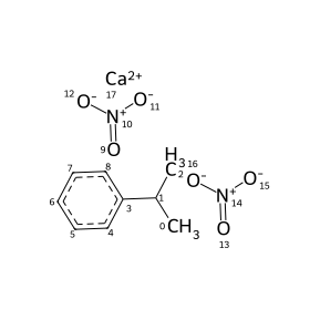 CC(C)c1ccccc1.O=[N+]([O-])[O-].O=[N+]([O-])[O-].[Ca+2]